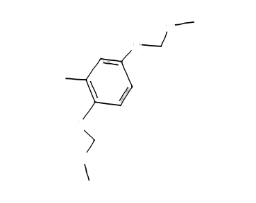 [CH2]c1cc(OCOC)ccc1OCOC